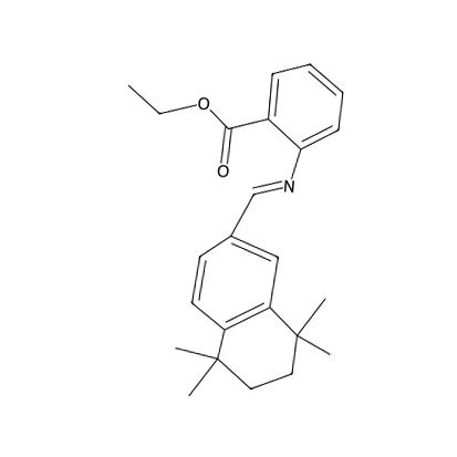 CCOC(=O)c1ccccc1N=Cc1ccc2c(c1)C(C)(C)CCC2(C)C